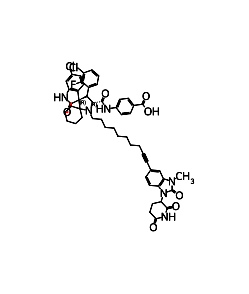 Cn1c(=O)n(C2CCC(=O)NC2=O)c2ccc(C#CCCCCCCCCN3[C@@H](C(=O)Nc4ccc(C(=O)O)cc4)C(c4cccc(Cl)c4F)[C@]4(C(=O)Nc5cc(Cl)ccc54)C34CCCCC4)cc21